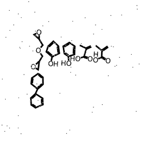 C(OCC1CO1)C1CO1.C=C(C)C(=O)O.C=C(C)C(=O)O.Oc1ccccc1.Oc1ccccc1.c1ccc(-c2ccccc2)cc1